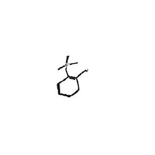 C[N+](C)(C)C1=C(I)CCCC1